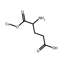 NC(CCC(=O)O)C(=O)[O][Cu]